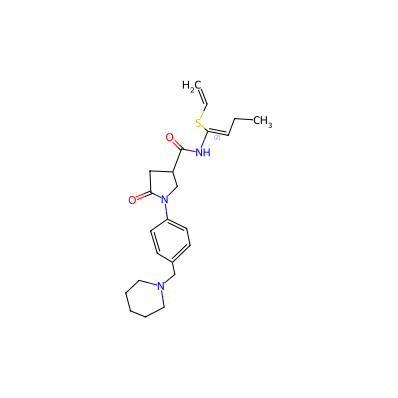 C=CS/C(=C\CC)NC(=O)C1CC(=O)N(c2ccc(CN3CCCCC3)cc2)C1